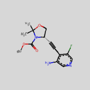 CC(C)(C)OC(=O)N1[C@@H](C#Cc2c(N)cncc2F)COC1(C)C